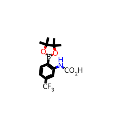 CC1(C)OB(c2ccc(C(F)(F)F)cc2NC(=O)O)OC1(C)C